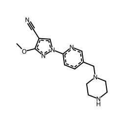 COc1nn(-c2ccc(CN3CCNCC3)cn2)cc1C#N